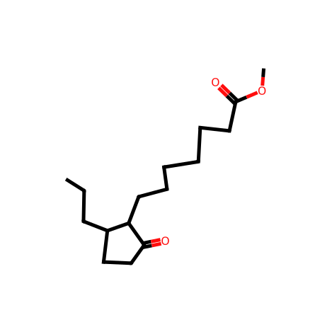 CCCC1CCC(=O)C1CCCCCCC(=O)OC